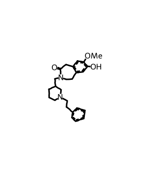 COc1cc2c(cc1O)CCN(CC1CCCN(CCc3ccccc3)C1)C(=O)C2